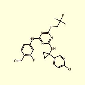 O=Cc1ccc(Nc2nc(NC3(c4ccc(Cl)cc4)CC3)nc(OCC(F)(F)F)n2)cc1F